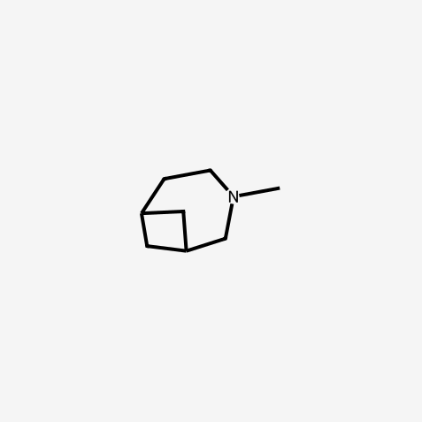 CN1CCC2CC(C2)C1